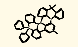 Cc1cc2c3c(c1)N1c4ccccc4C(C)(C)c4cccc(c41)B3N1c3ccccc3[Si](c3ccccc3)(c3ccccc3)c3cccc-2c31